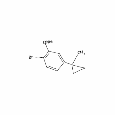 COc1cc(C2(C)CC2)ccc1Br